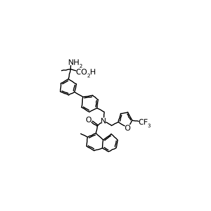 Cc1ccc2ccccc2c1C(=O)N(Cc1ccc(-c2cccc(C(C)(N)C(=O)O)c2)cc1)Cc1ccc(C(F)(F)F)o1